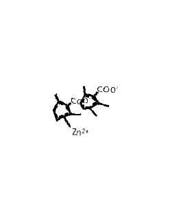 Cc1ccc(C)c(C(=O)[O-])c1C.Cc1ccc(C)c(C(=O)[O-])c1C.[Zn+2]